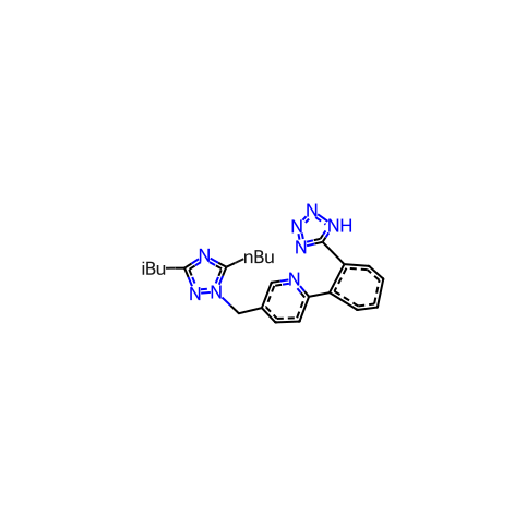 CCCCc1nc(C(C)CC)nn1Cc1ccc(-c2ccccc2-c2nnn[nH]2)nc1